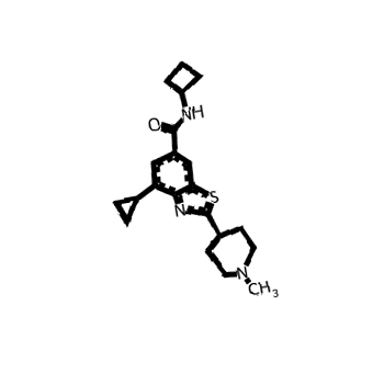 CN1CCC(c2nc3c(C4CC4)cc(C(=O)NC4CCC4)cc3s2)CC1